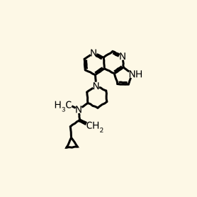 C=C(CC1CC1)N(C)C1CCCN(c2ccnc3cnc4[nH]ccc4c23)C1